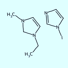 CCN1C=CN(C)C1.In1ccnc1